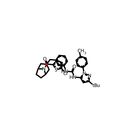 Cc1ccc(-n2nc(C(C)(C)C)cc2NC(=O)Nc2cccc(CC3CC4CCC(C3)N4C(=O)c3ccc(Cl)s3)c2)cc1